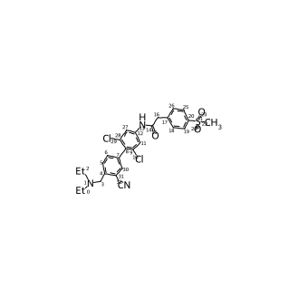 CCN(CC)Cc1ccc(-c2c(Cl)cc(NC(=O)Cc3ccc(S(C)(=O)=O)cc3)cc2Cl)cc1C#N